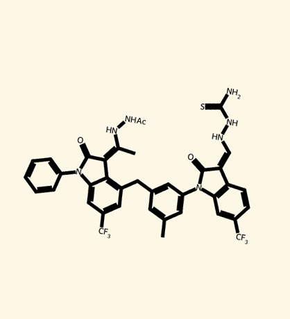 CC(=O)NN/C(C)=C1\C(=O)N(c2ccccc2)c2cc(C(F)(F)F)cc(Cc3cc(C)cc(N4C(=O)/C(=C\NNC(N)=S)c5ccc(C(F)(F)F)cc54)c3)c21